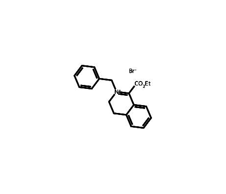 CCOC(=O)C1=[N+](Cc2ccccc2)CCc2ccccc21.[Br-]